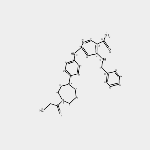 N#CCC(=O)N1CCCN(c2ccc(Nc3cc(NCc4ccccc4)c(C(N)=O)cn3)cc2)CC1